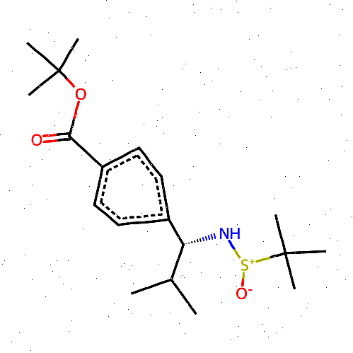 CC(C)[C@@H](N[S+]([O-])C(C)(C)C)c1ccc(C(=O)OC(C)(C)C)cc1